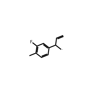 [CH2]C(C=C)c1ccc(C)c(F)c1